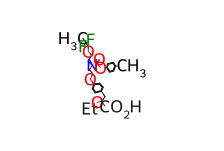 CCOC(Cc1ccc(OCCN(CCOCC(C)(F)F)C(=O)Oc2ccc(C)cc2)cc1)C(=O)O